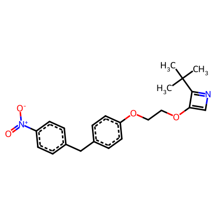 CC(C)(C)C1=NC=C1OCCOc1ccc(Cc2ccc([N+](=O)[O-])cc2)cc1